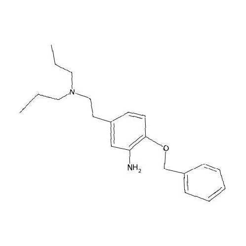 CCCN(CCC)CCc1ccc(OCc2ccccc2)c(N)c1